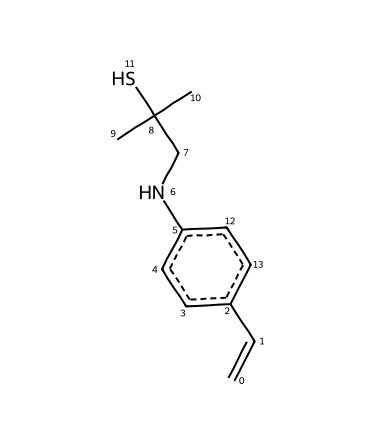 C=Cc1ccc(NCC(C)(C)S)cc1